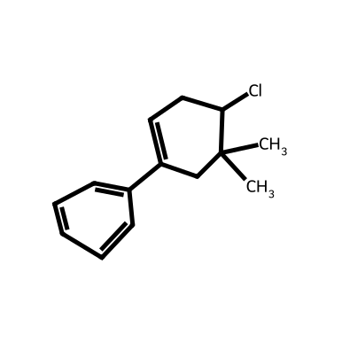 CC1(C)CC(c2ccccc2)=CCC1Cl